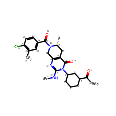 CNC(=O)C1CCCC(n2c(NC(C)C)nc3c(c2=O)C[C@@H](C)N(C(=O)c2ccc(Cl)c(C(F)(F)F)c2)C3)C1